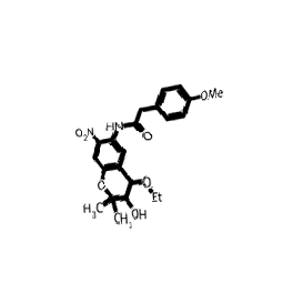 CCOC1c2cc(NC(=O)Cc3ccc(OC)cc3)c([N+](=O)[O-])cc2OC(C)(C)C1O